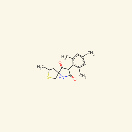 Cc1cc(C)c(C2C(=O)NC3(CSC(C)C3)C2=O)c(C)c1